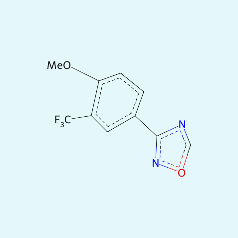 COc1ccc(-c2ncon2)cc1C(F)(F)F